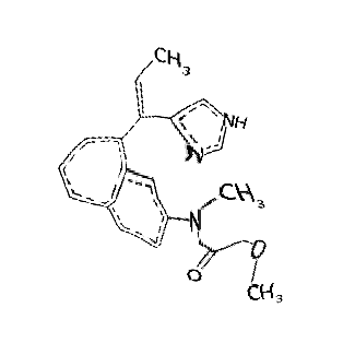 C/C=C(\c1c[nH]cn1)c1cccc2ccc(N(C)C(=O)OC)cc12